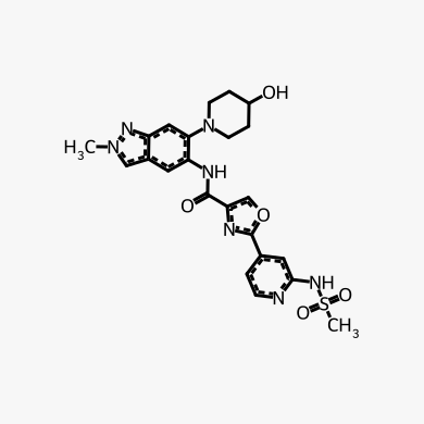 Cn1cc2cc(NC(=O)c3coc(-c4ccnc(NS(C)(=O)=O)c4)n3)c(N3CCC(O)CC3)cc2n1